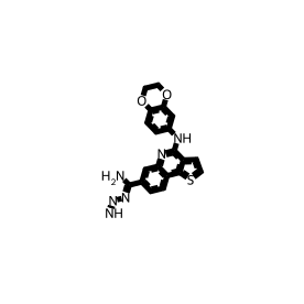 N=N/N=C(\N)c1ccc2c(c1)nc(Nc1ccc3c(c1)OCCO3)c1ccsc12